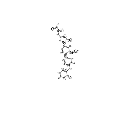 CC(=O)NCC1CN(c2ccc(-c3cc[n+](Cc4ccccc4C)cc3)c(F)c2)C(=O)O1.[Br-]